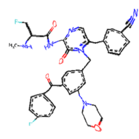 CNC(CF)C(=O)Nc1ncc(-c2cccc(C#N)c2)n(Cc2cc(C(=O)c3ccc(F)cc3)cc(N3CCOCC3)c2)c1=O